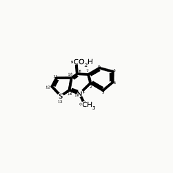 C[n+]1c2ccccc2c(C(=O)O)c2ccsc21